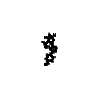 CB(O)N1[C@@H]2C[C@@H]2C[C@H]1c1ncc(-c2ccc(Br)cc2)[nH]1